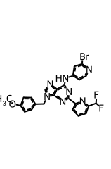 COc1ccc(Cn2cnc3c(Nc4ccnc(Br)c4)nc(-c4cccc(C(F)F)n4)nc32)cc1